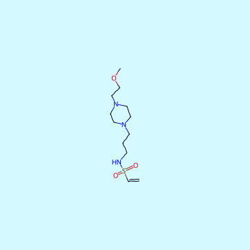 C=CS(=O)(=O)NCCCN1CCN(CCOC)CC1